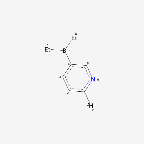 [2H]c1ccc(B(CC)CC)cn1